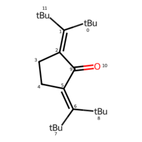 CC(C)(C)C(=C1CCC(=C(C(C)(C)C)C(C)(C)C)C1=O)C(C)(C)C